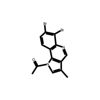 CC(=O)n1cc(C)c2cnc3c(Br)c(Br)ccc3c21